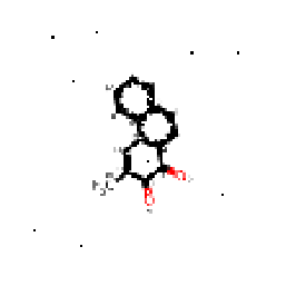 O=C1C(=O)c2ccc3ccccc3c2C=C1C(F)(F)F